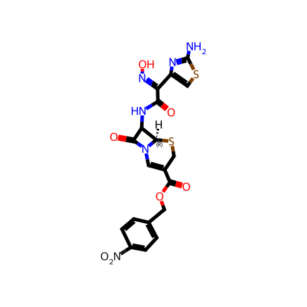 Nc1nc(C(=NO)C(=O)NC2C(=O)N3C=C(C(=O)OCc4ccc([N+](=O)[O-])cc4)CS[C@H]23)cs1